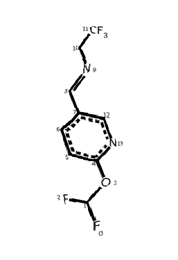 FC(F)Oc1ccc(/C=N/CC(F)(F)F)cn1